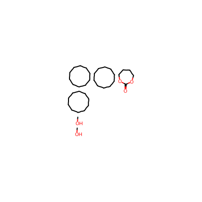 C1CCCCCCCCC1.C1CCCCCCCCC1.C1CCCCCCCCC1.CO.CO.O=C1OCCCCO1